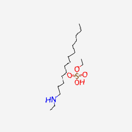 CCCCCCCCCCCCCCNCC.CCOS(=O)(=O)O